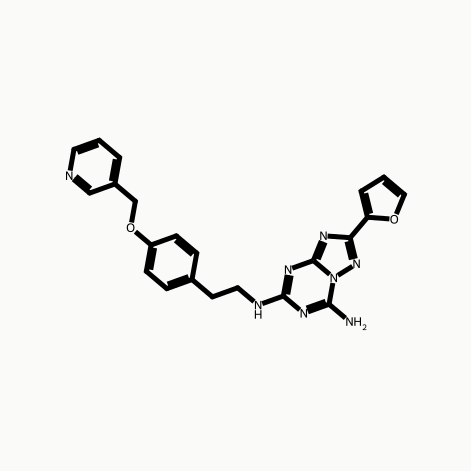 Nc1nc(NCCc2ccc(OCc3cccnc3)cc2)nc2nc(-c3ccco3)nn12